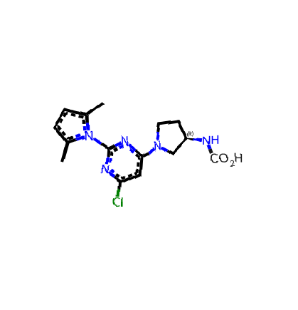 Cc1ccc(C)n1-c1nc(Cl)cc(N2CC[C@@H](NC(=O)O)C2)n1